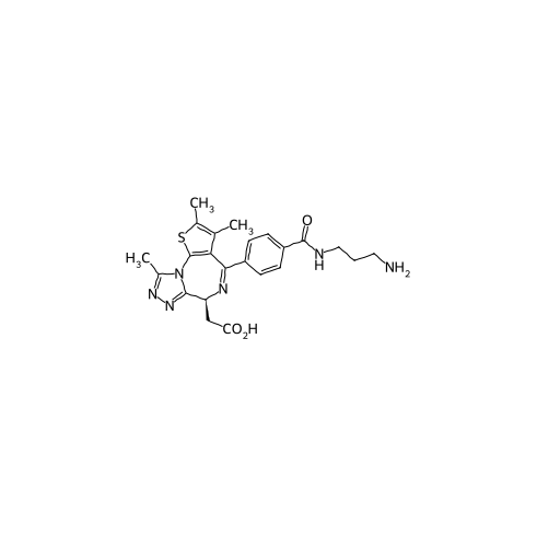 Cc1sc2c(c1C)C(c1ccc(C(=O)NCCCN)cc1)=N[C@@H](CC(=O)O)c1nnc(C)n1-2